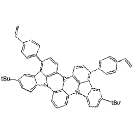 C=Cc1ccc(-c2ccc3c4c2c2cc(C(C)(C)C)ccc2n4-c2cccc4c2B3c2ccc(-c3ccc(C=C)cc3)c3c5cc(C(C)(C)C)ccc5n-4c23)cc1